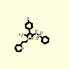 O=S(=O)(Nc1nn(CCc2ccccn2)c(C(F)(F)F)c1-c1ccc(F)cc1)c1ccccc1